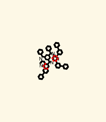 c1ccc(/C(=N/c2ccc(-c3cccc(-c4ccccc4)c3)nc2)C2CC(/C(=N\c3ccc(-c4cccc(-c5ccccc5)c4)nc3)c3ccccc3)CC(/C(=N\c3ccc(-c4cccc(-c5ccccc5)c4)nc3)c3ccccc3)C2)cc1